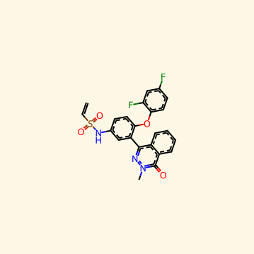 C=CS(=O)(=O)Nc1ccc(Oc2ccc(F)cc2F)c(-c2nn(C)c(=O)c3ccccc23)c1